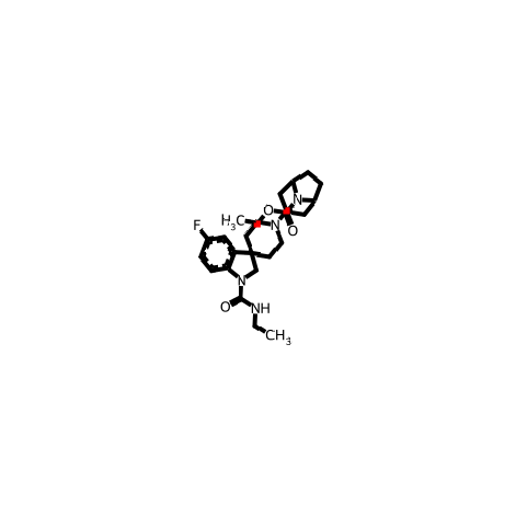 CCNC(=O)N1CC2(CCN(C3CC4CCC(C3)N4C(=O)OCC)CC2)c2cc(F)ccc21